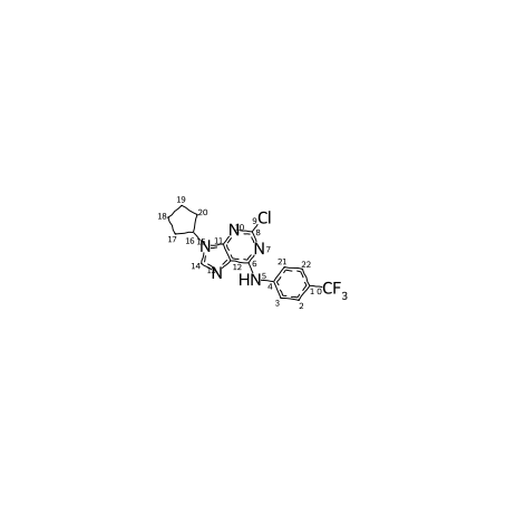 FC(F)(F)c1ccc(Nc2nc(Cl)nc3c2ncn3C2CCCC2)cc1